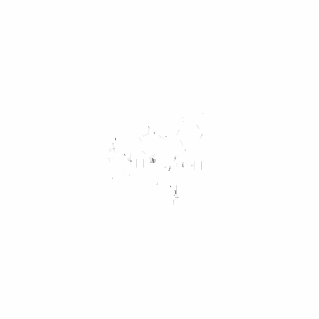 CC(C)c1ccc([C@](O)(c2cncc(N3CCOC3=O)c2)C2(C)CN(C)C2)cc1